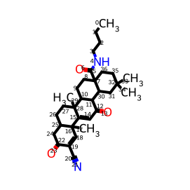 CCCCNC(=O)C12CCC3C(C(=O)C=C4C5(C)C=C(C#N)C(=O)CC5CCC43C)C1CC(C)(C)CC2